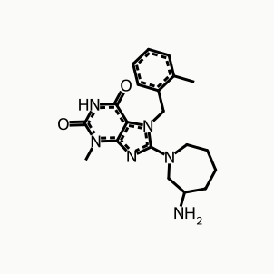 Cc1ccccc1Cn1c(N2CCCCC(N)C2)nc2c1c(=O)[nH]c(=O)n2C